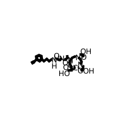 C#Cc1cccc(CCCCNC(=O)CNC(=O)C(C)N2CCN(CC(=O)O)CCN(CC(=O)O)CCN(CC(=O)O)CC2)c1